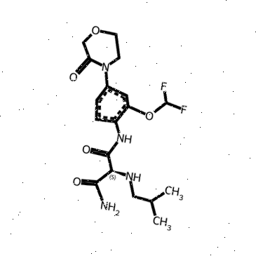 CC(C)CN[C@@H](C(N)=O)C(=O)Nc1ccc(N2CCOCC2=O)cc1OC(F)F